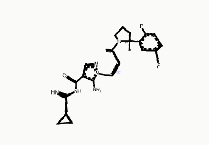 C=C(/C=C\n1ncc(C(=O)NC(=N)C2CC2)c1N)N1CCC[C@]1(C)c1cc(F)ccc1F